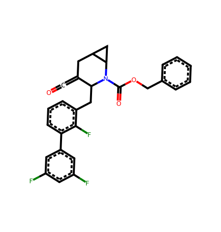 O=C=C1CC2CC2N(C(=O)OCc2ccccc2)C1Cc1cccc(-c2cc(F)cc(F)c2)c1F